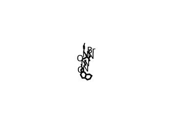 CC#CCn1c(Br)nc2cnn(Cc3nc4c(ccc5ccccc54)o3)c(=O)c21